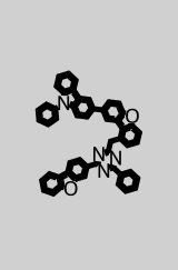 c1ccc(-c2nc(Cc3cccc4oc5ccc(-c6ccc7c(c6)c6ccccc6n7-c6ccccc6)cc5c34)nc(-c3ccc4c(c3)oc3ccccc34)n2)cc1